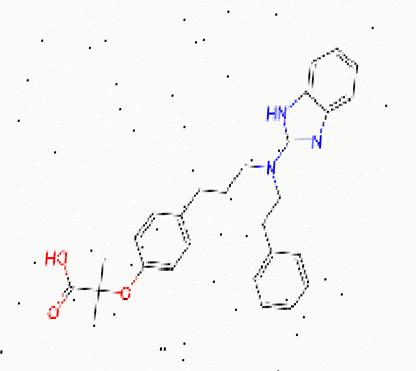 CC(C)(Oc1ccc(CCCN(CCc2ccccc2)c2nc3ccccc3[nH]2)cc1)C(=O)O